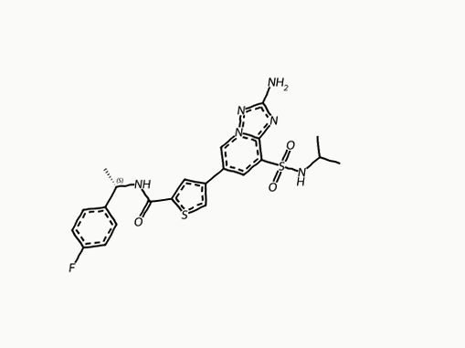 CC(C)NS(=O)(=O)c1cc(-c2csc(C(=O)N[C@@H](C)c3ccc(F)cc3)c2)cn2nc(N)nc12